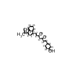 CN(C)c1ccc(C=CC(=O)CC(=O)C=Cc2ccc(O)cc2)c2ccccc12